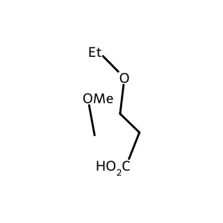 CCOCCC(=O)O.COC